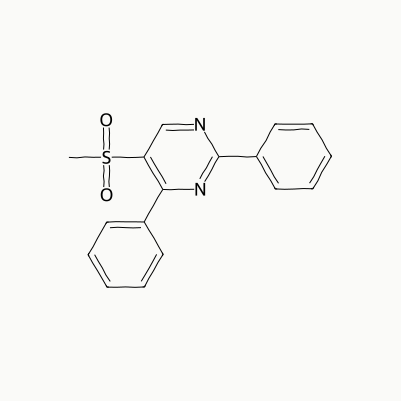 CS(=O)(=O)c1cnc(-c2ccccc2)nc1-c1ccccc1